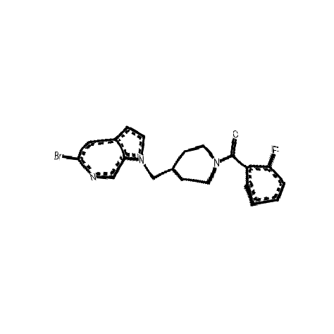 O=C(c1ccccc1F)N1CCC(Cn2ccc3cc(Br)ncc32)CC1